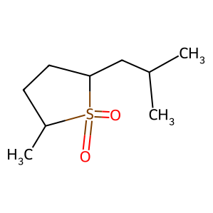 CC(C)CC1CCC(C)S1(=O)=O